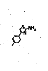 CC1=CC=C(c2csc(N)n2)CC1